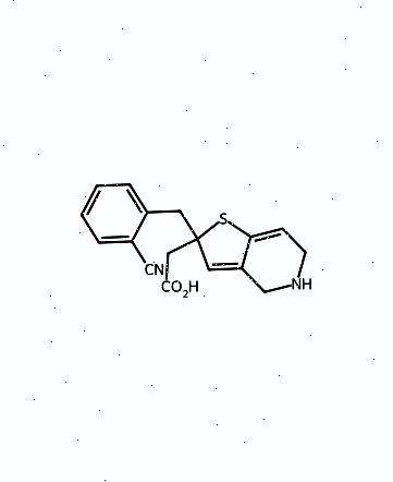 N#Cc1ccccc1CC1(CC(=O)O)C=C2CNCC=C2S1